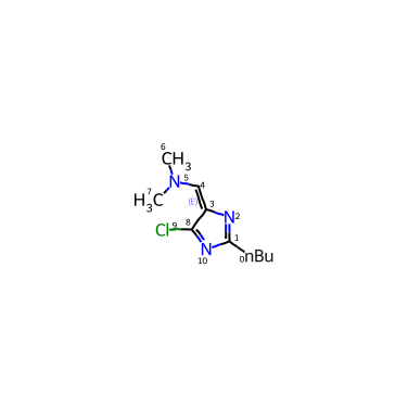 CCCCC1=N/C(=C/N(C)C)C(Cl)=N1